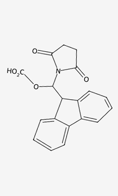 O=C(O)OC(C1c2ccccc2-c2ccccc21)N1C(=O)CCC1=O